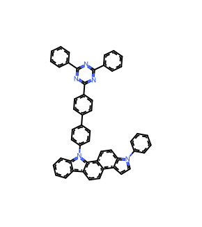 c1ccc(-c2nc(-c3ccccc3)nc(-c3ccc(-c4ccc(-n5c6ccccc6c6ccc7c8ccn(-c9ccccc9)c8ccc7c65)cc4)cc3)n2)cc1